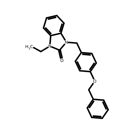 CCn1c(=O)n(Cc2ccc(OCc3ccccc3)cc2)c2ccccc21